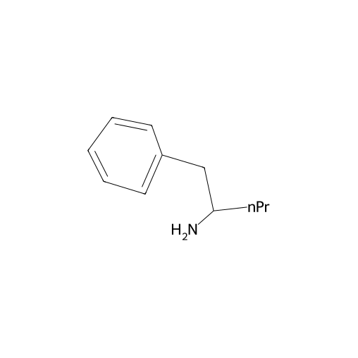 CCCC(N)Cc1ccccc1